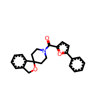 O=C(c1ccc(-c2ccccc2)o1)N1CCC2(CC1)OCc1ccccc12